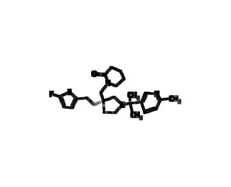 Cc1ccc(C(C)(C)N2CC[C@@](CCc3ccc(F)s3)(CN3CCCCC3=O)C2)cn1